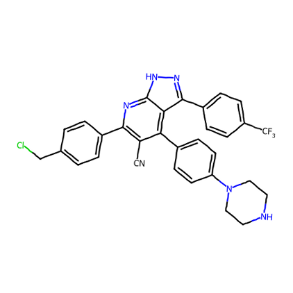 N#Cc1c(-c2ccc(CCl)cc2)nc2[nH]nc(-c3ccc(C(F)(F)F)cc3)c2c1-c1ccc(N2CCNCC2)cc1